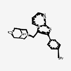 CC(C)c1ccc(-c2nc3ncccn3c2CN2CC3COCC(C2)N3)cc1